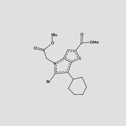 COC(=O)c1cc2c(s1)c(C1CCCCC1)c(Br)n2CC(=O)OC(C)(C)C